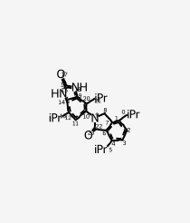 CC(C)c1ccc(C(C)C)c2c1CN(c1cc(C(C)C)c3[nH]c(=O)[nH]c3c1C(C)C)C2=O